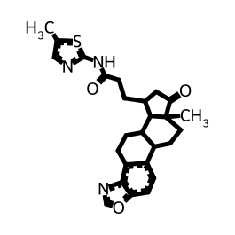 Cc1cnc(NC(=O)CCC2CC(=O)C3(C)CCC4c5ccc6ocnc6c5CCC4C23)s1